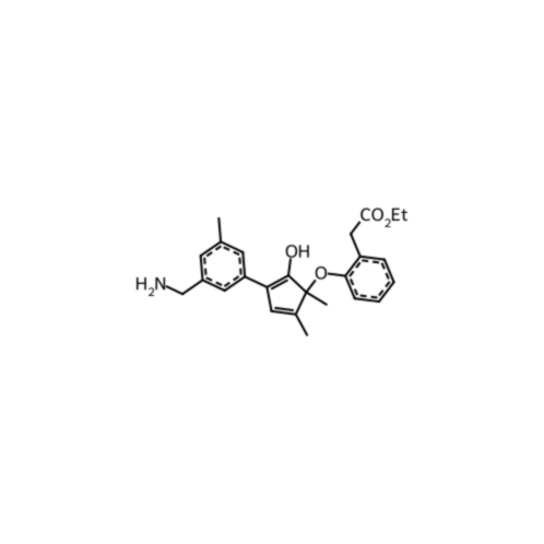 CCOC(=O)Cc1ccccc1OC1(C)C(C)=CC(c2cc(C)cc(CN)c2)=C1O